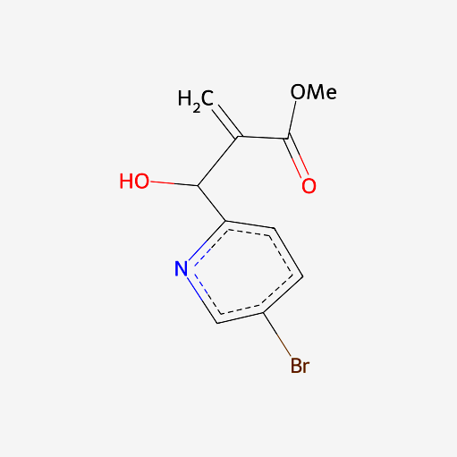 C=C(C(=O)OC)C(O)c1ccc(Br)cn1